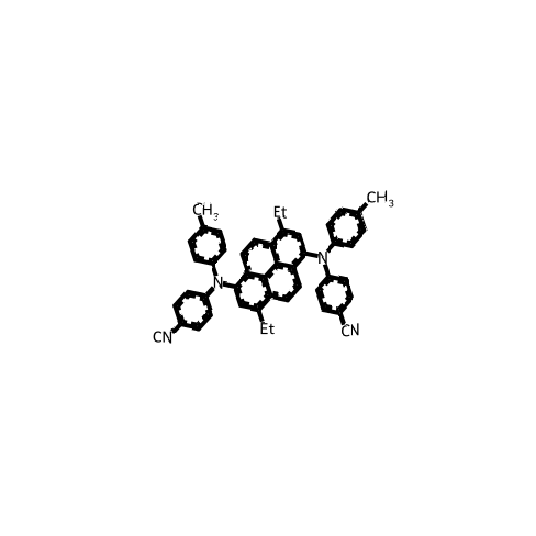 [C-]#[N+]c1ccc(N(c2ccc(C)cc2)c2cc(CC)c3ccc4c(N(c5ccc(C)cc5)c5ccc(C#N)cc5)cc(CC)c5ccc2c3c54)cc1